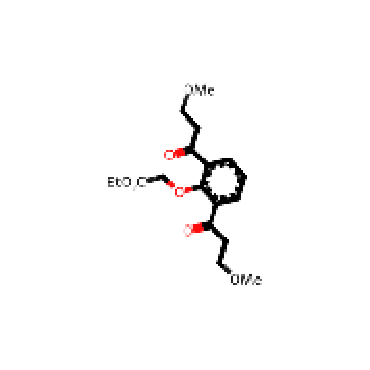 CCOC(=O)COc1c(C(=O)CCOC)cccc1C(=O)CCOC